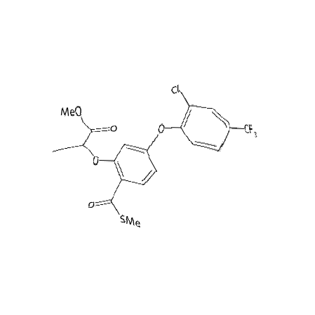 COC(=O)C(C)Oc1cc(Oc2ccc(C(F)(F)F)cc2Cl)ccc1C(=O)SC